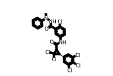 CN(NC(=O)c1cc(NC(=O)C2[C@H](c3cc(Cl)c(Cl)c(Cl)c3)C2(Cl)Cl)ccc1Cl)c1ccccc1